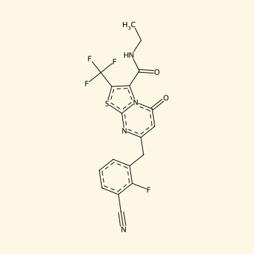 CCNC(=O)c1c(C(F)(F)F)sc2nc(Cc3cccc(C#N)c3F)cc(=O)n12